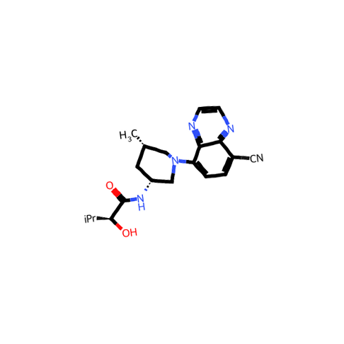 CC(C)[C@H](O)C(=O)N[C@@H]1C[C@H](C)CN(c2ccc(C#N)c3nccnc23)C1